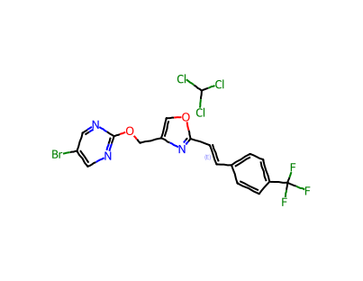 ClC(Cl)Cl.FC(F)(F)c1ccc(/C=C/c2nc(COc3ncc(Br)cn3)co2)cc1